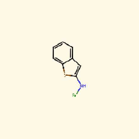 BrNc1cc2ccccc2s1